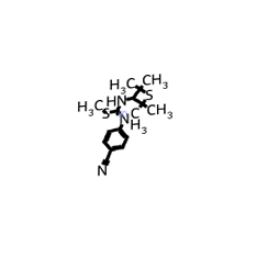 CS/C(=N\c1ccc(C#N)cc1)NC1C(C)(C)SC1(C)C